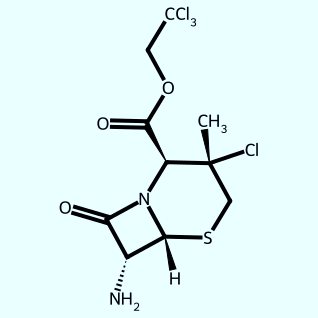 C[C@@]1(Cl)CS[C@@H]2[C@H](N)C(=O)N2[C@H]1C(=O)OCC(Cl)(Cl)Cl